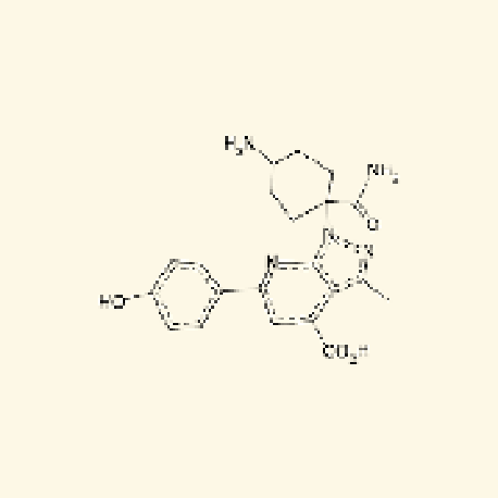 Cc1nn(C2(C(N)=O)CCC(N)CC2)c2nc(-c3ccc(O)cc3)cc(C(=O)O)c12